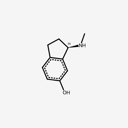 CN[C@@H]1CCc2ccc(O)cc21